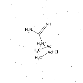 CC(C)=O.CC(C)=O.Cl.N=C(N)N